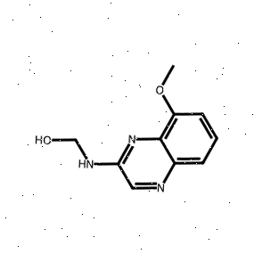 COc1cccc2ncc(NCO)nc12